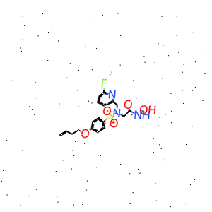 C=CCCOc1ccc(S(=O)(=O)N(CC(=O)NO)Cc2cccc(F)n2)cc1